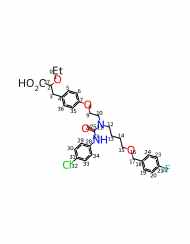 CCOC(Cc1ccc(OCCN(CCCCOCc2ccc(F)cc2)C(=O)Nc2ccc(Cl)cc2)cc1)C(=O)O